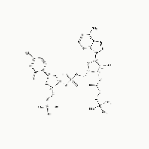 CC(C)(C)[Si](C)(C)OCC(=O)O[C@H]1[C@@H](O)[C@H](n2cnc3c(N)ncnc32)O[C@H]1COP(=O)(O)O[C@H]1C[C@H](n2ccc(N)nc2=O)O[C@H]1COP(=O)(O)O